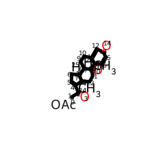 CC(=O)OCC(=O)C1=CC[C@H]2[C@@H]3CCC4=CC(=O)C=C[C@]4(C)[C@]34OC4C[C@]12C